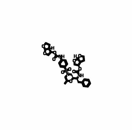 CC1CN(S(=O)(=O)c2ccc(NC(=O)OC3COC4OCC[C@H]34)cc2)C[C@H]([C@H](Cc2ccccc2)NC(=O)O[C@H]2CO[C@H]3OCCC32)O1